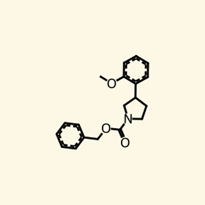 COc1ccccc1C1CCN(C(=O)OCc2ccccc2)C1